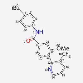 CCC(C)c1ccc(NC(=O)c2ccc(-c3ncccc3C(F)(F)F)c(OC)c2)cc1